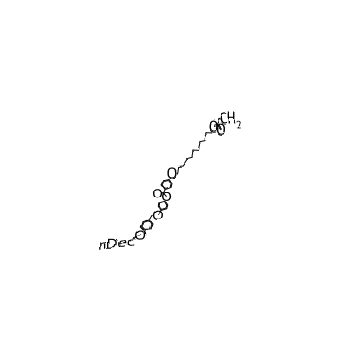 C=CC(=O)OCCCCCCCCCCCOc1ccc(C(=O)Oc2ccc(OCc3ccc(OCCCCCCCCCCC)cc3)cc2)cc1